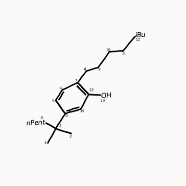 CCCCCC(C)(C)c1ccc(CCCCC(C)CC)c(O)c1